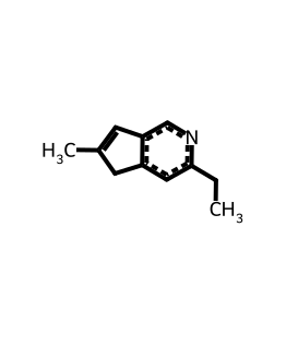 CCc1cc2c(cn1)C=C(C)C2